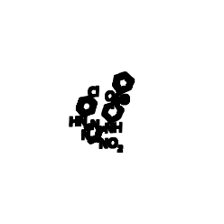 O=[N+]([O-])c1cnc(Nc2ccc(Cl)cc2)nc1NC1CCN(S(=O)(=O)c2ccccc2)CC1